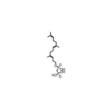 CC(C)=CCCC(C)=CCCC(C)=CCCOP(=O)(O)CP(=O)(O)O